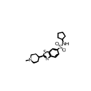 CN1CCC(c2nc3ccc(S(=O)(=O)NC4CCCC4)cc3s2)CC1